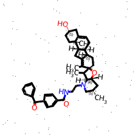 CC1=C2C[C@H]3[C@@H](CC=C4C[C@@H](O)CC[C@@]43C)[C@@H]2CC[C@]12O[C@@H]1C[C@H](C)CN(CCNC(=O)c3ccc(C(=O)c4ccccc4)cc3)[C@H]1C2C